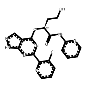 O=C(Nc1ccccn1)[C@H](CCO)Oc1nc(-c2ncccc2Cl)nc2[nH]ncc12